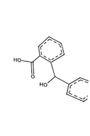 O=C(O)c1ccccc1C(O)c1ccccc1